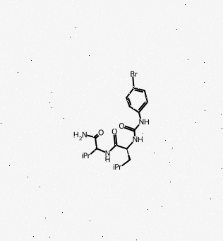 CC(C)C[C@H](NC(=O)Nc1ccc(Br)cc1)C(=O)NC(C(N)=O)C(C)C